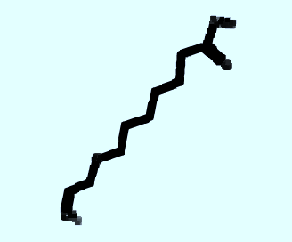 C=CCOCCCCCCC(=O)NC